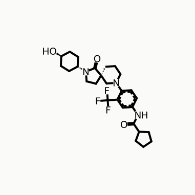 O=C(Nc1ccc(N2CCC[C@@]3(CCN([C@H]4CC[C@H](O)CC4)C3=O)C2)c(C(F)(F)F)c1)C1CCCC1